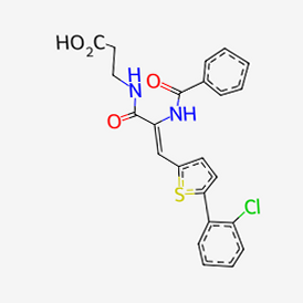 O=C(O)CCNC(=O)/C(=C/c1ccc(-c2ccccc2Cl)s1)NC(=O)c1ccccc1